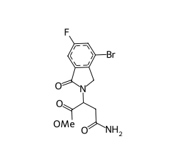 COC(=O)C(CC(N)=O)N1Cc2c(Br)cc(F)cc2C1=O